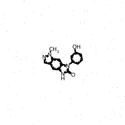 Cn1ncc2cc3[nH]c(=O)n(-c4cccc(O)c4)c3cc21